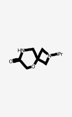 CC(C)N1CC2(CNC(=O)CO2)C1